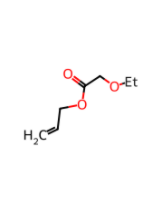 C=CCOC(=O)COCC